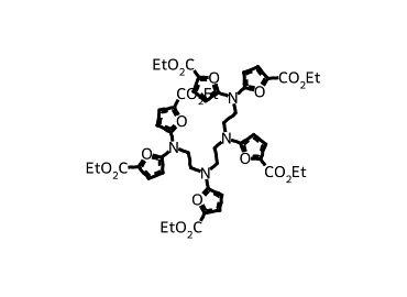 CCOC(=O)c1ccc(N(CCN(CCN(c2ccc(C(=O)OCC)o2)c2ccc(C(=O)OCC)o2)c2ccc(C(=O)OCC)o2)CCN(c2ccc(C(=O)OCC)o2)c2ccc(C(=O)OCC)o2)o1